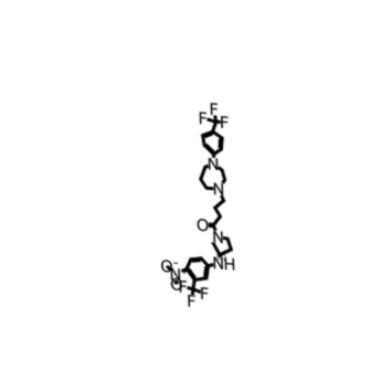 O=C(CCCN1CCCN(c2ccc(C(F)(F)F)cc2)CC1)N1CC[C@@H](Nc2ccc([N+](=O)[O-])c(C(F)(F)F)c2)C1